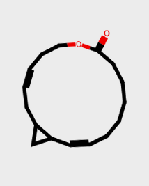 O=C1CCCCCC=CC2CC2CC=CCCO1